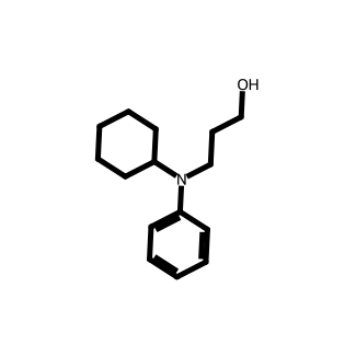 OCCCN(c1ccccc1)C1CCCCC1